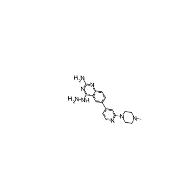 CN1CCN(c2cc(-c3ccc4nc(N)nc(NN)c4c3)ccn2)CC1